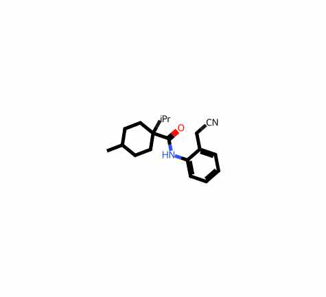 CC1CCC(C(=O)Nc2ccccc2CC#N)(C(C)C)CC1